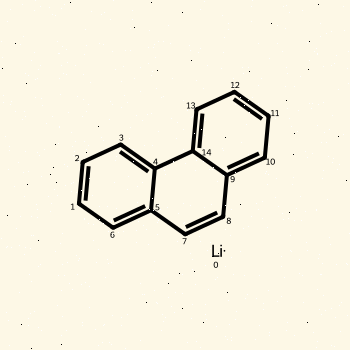 [Li].c1ccc2c(c1)ccc1ccccc12